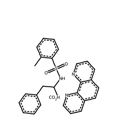 Cc1ccccc1S(=O)(=O)NC(Cc1ccccc1)C(=O)O.c1cnc2c(c1)ccc1cccnc12